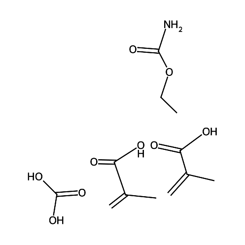 C=C(C)C(=O)O.C=C(C)C(=O)O.CCOC(N)=O.O=C(O)O